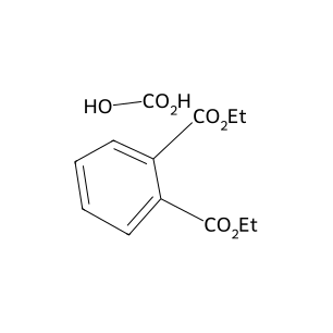 CCOC(=O)c1ccccc1C(=O)OCC.O=C(O)O